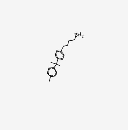 BCCCCc1ccc(C(C)(C)c2ccc(C)cc2)cc1